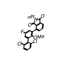 C[CH]CN1C(=O)c2cccc(-c3cc(F)cc(-c4c(Cl)cccc4Cl)c3OC)c2C1=O